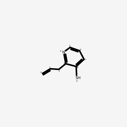 C=CCc1ncccc1S